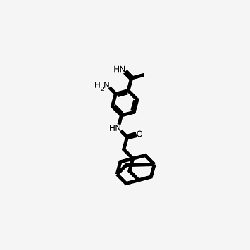 CC(=N)c1ccc(NC(=O)CC23CC4CC(CC(C4)C2)C3)cc1N